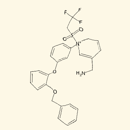 NCC1=C[N+](c2cccc(Oc3ccccc3OCc3ccccc3)c2)(S(=O)(=O)CC(F)(F)F)CC=C1